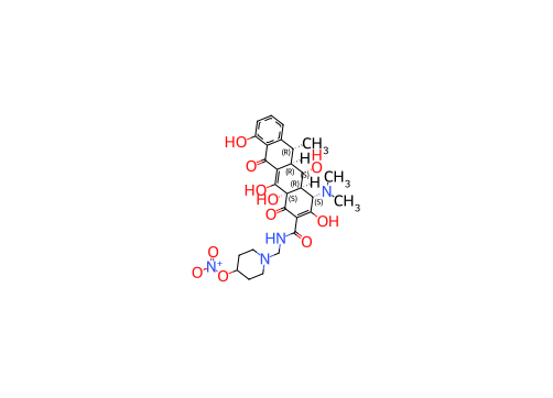 C[C@H]1c2cccc(O)c2C(=O)C2=C(O)[C@]3(O)C(=O)C(C(=O)NCN4CCC(O[N+](=O)[O-])CC4)=C(O)[C@@H](N(C)C)[C@@H]3[C@@H](O)[C@@H]21